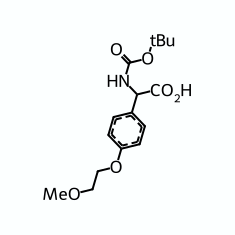 COCCOc1ccc(C(NC(=O)OC(C)(C)C)C(=O)O)cc1